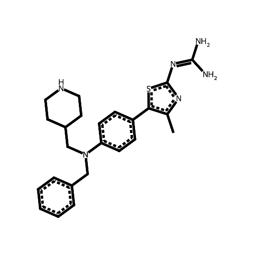 Cc1nc(N=C(N)N)sc1-c1ccc(N(Cc2ccccc2)CC2CCNCC2)cc1